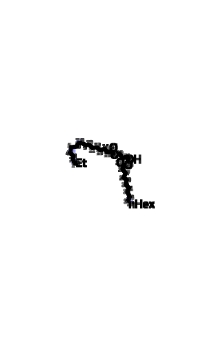 CC/C=C\C/C=C\C/C=C\CCCCCCCC(=O)OCC(CO)OC(=O)CCCCCCC/C=C/CCCCCC